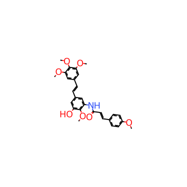 COc1ccc(/C=C/C(=O)Nc2cc(C=Cc3cc(OC)c(OC)c(OC)c3)cc(O)c2OC)cc1